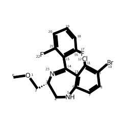 COC[C@H]1CNc2ccc(Br)c(Cl)c2C(c2c(F)cccc2F)=N1